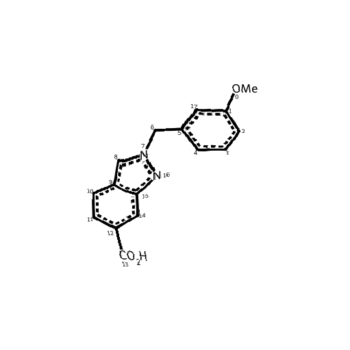 COc1cccc(Cn2cc3ccc(C(=O)O)cc3n2)c1